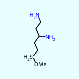 CO[SiH2]CCC(N)CCN